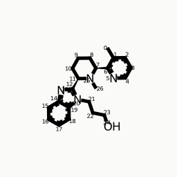 Cc1cccnc1[C@@H]1CCC[C@H](c2nc3ccccc3n2CCCO)N1C